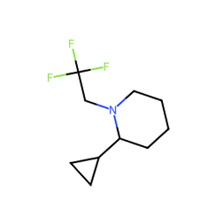 FC(F)(F)CN1CCCCC1C1CC1